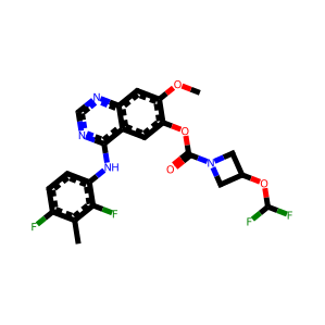 COc1cc2ncnc(Nc3ccc(F)c(C)c3F)c2cc1OC(=O)N1CC(OC(F)F)C1